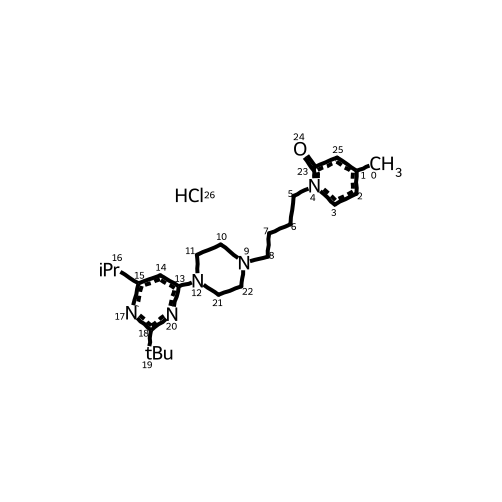 Cc1ccn(CCCCN2CCN(c3cc(C(C)C)nc(C(C)(C)C)n3)CC2)c(=O)c1.Cl